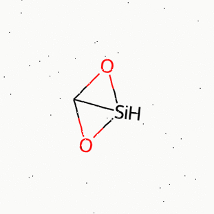 O1C2O[SiH]12